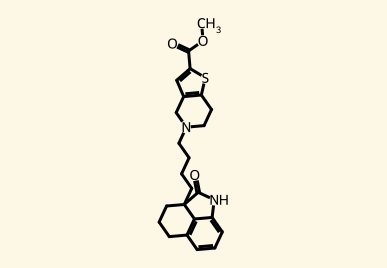 COC(=O)c1cc2c(s1)CCN(CCCCC13CCCc4cccc(c41)NC3=O)C2